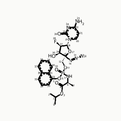 CC(C)OC(=O)[C@H](C)NP(=O)(OC[C@@]1(N=[N+]=[N-])O[C@@H](n2ccc(N)nc2=O)[C@H](F)[C@@H]1O)Oc1cccc2ccccc12